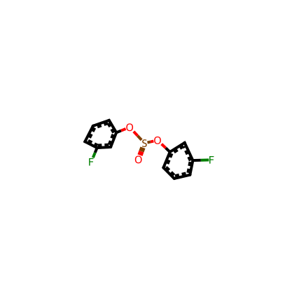 O=S(Oc1cccc(F)c1)Oc1cccc(F)c1